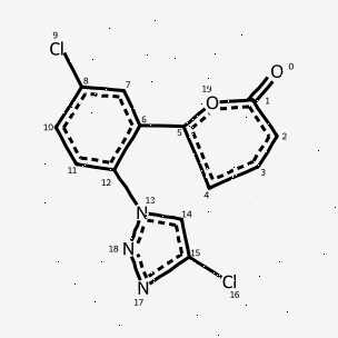 O=c1cccc(-c2cc(Cl)ccc2-n2cc(Cl)nn2)o1